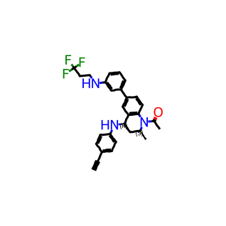 C#Cc1ccc(N[C@@H]2C[C@H](C)N(C(C)=O)c3ccc(-c4cccc(NCCC(F)(F)F)c4)cc32)cc1